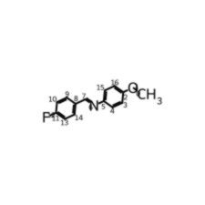 COc1ccc(N=Cc2ccc(F)cc2)cc1